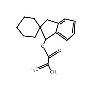 C=C(C)C(=O)OC1c2ccccc2CC12CCCCC2